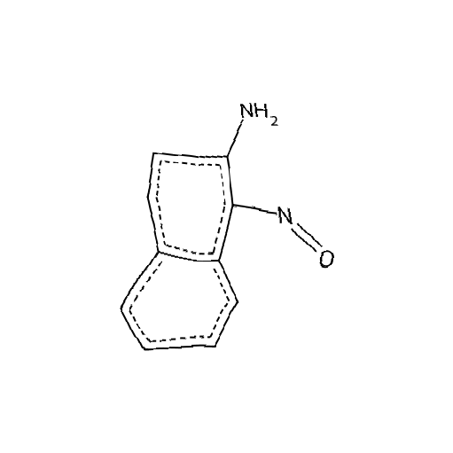 Nc1ccc2ccccc2c1N=O